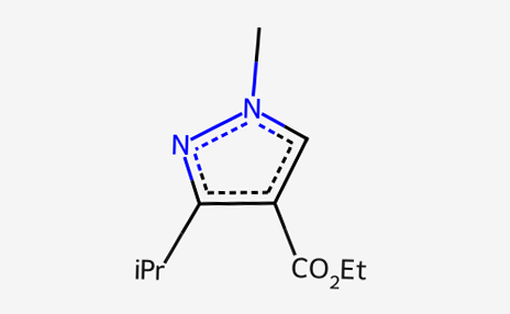 CCOC(=O)c1cn(C)nc1C(C)C